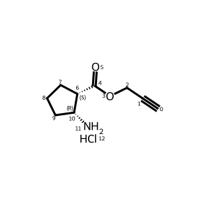 C#CCOC(=O)[C@H]1CCC[C@H]1N.Cl